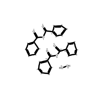 O=C(OC(=O)c1ccccc1)c1ccccc1.O=C(OC(=O)c1ccccc1)c1ccccc1.OO